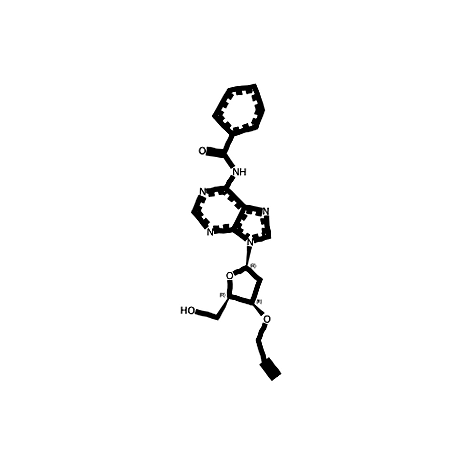 C#CCO[C@@H]1C[C@H](n2cnc3c(NC(=O)c4ccccc4)ncnc32)O[C@@H]1CO